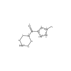 Cn1cc(C(=O)N2CCNCC2)nn1